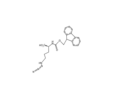 [N-]=[N+]=NNCCC[C@H](NC(=O)OCC1c2ccccc2-c2ccccc21)C(=O)O